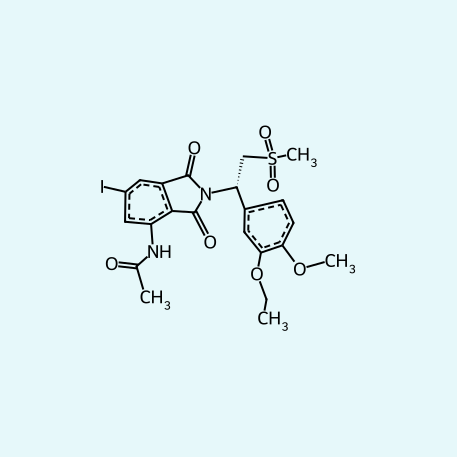 CCOc1cc([C@@H](CS(C)(=O)=O)N2C(=O)c3cc(I)cc(NC(C)=O)c3C2=O)ccc1OC